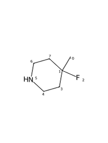 [CH2]C1(F)CCNCC1